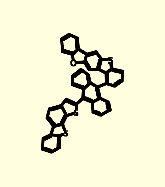 c1ccc2c(c1)oc1cc3c(cc12)sc1cccc(-c2c4ccccc4c(-c4cc5ccc6c7ccccc7sc6c5s4)c4ccccc24)c13